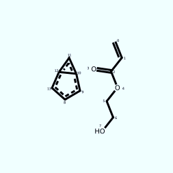 C=CC(=O)OCCO.c1cc2cc-2c1